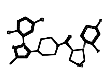 Cc1cc(C2CCN(C(=O)[C@@H]3CNC[C@H]3c3ccc(F)cc3F)CC2)n(-c2cc(Cl)ccc2Cl)n1